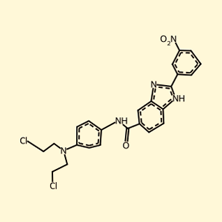 O=C(Nc1ccc(N(CCCl)CCCl)cc1)c1ccc2[nH]c(-c3cccc([N+](=O)[O-])c3)nc2c1